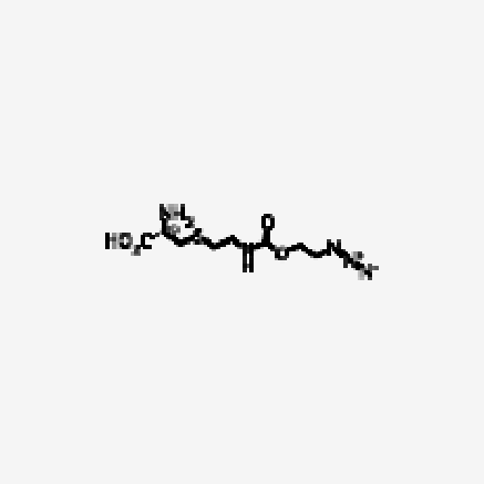 [N-]=[N+]=NCCOC(=O)NCCSC[C@@H](N)C(=O)O